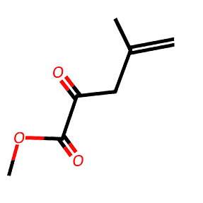 C=C(C)CC(=O)C(=O)OC